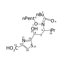 CCCCCON(C(=O)CCCC)C(CC(O)c1nc(C(=O)O)cs1)C(C)C